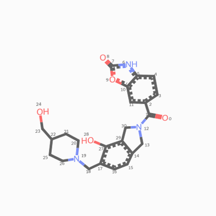 O=C(c1ccc2[nH]c(=O)oc2c1)N1Cc2ccc(CN3CCC(CO)CC3)c(O)c2C1